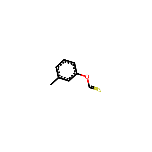 Cc1cccc(OC=S)c1